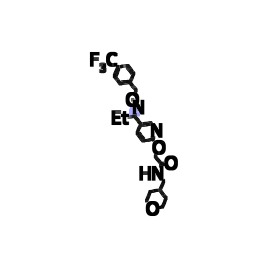 CC/C(=N\OCc1ccc(C(F)(F)F)cc1)c1ccc(OCC(=O)NCC2CCOCC2)nc1